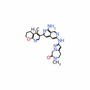 Cc1c(-c2cc3cc(Nc4cc5n(n4)CC(=O)N(C)CC5)ncc3c(N)n2)cnc2c1CCCO2